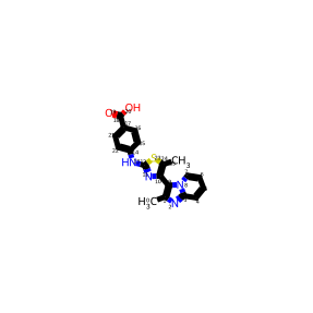 Cc1nc2ccccn2c1-c1nc(Nc2ccc(C(=O)O)cc2)sc1C